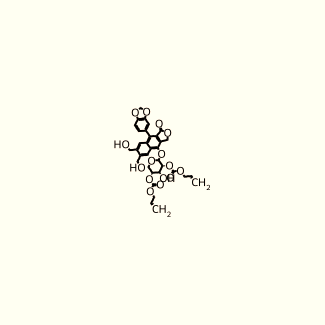 C=CCOC(=O)O[C@@H]1COC(Oc2c3c(c(-c4ccc5c(c4)OCO5)c4cc(CO)c(CO)cc24)C(=O)OC3)[C@H](OC(=O)OCC=C)[C@H]1O